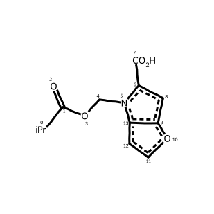 CC(C)C(=O)OCn1c(C(=O)O)cc2occc21